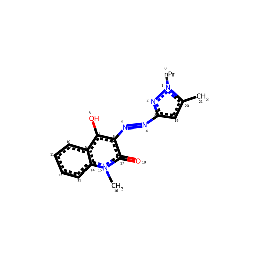 CCCn1nc(N=Nc2c(O)c3ccccc3n(C)c2=O)cc1C